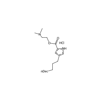 CCCCCCCCCCCCCc1c[nH]c(C(=O)OCCN(C)C)c1.Cl